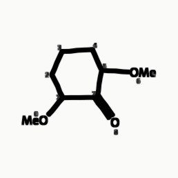 COC1CCCC(OC)C1=O